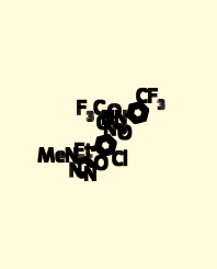 CCc1cc(N(OC(=O)C(F)(F)F)C(=O)Nc2cccc(C(F)(F)F)c2)cc(Cl)c1Oc1cc(NC)ncn1